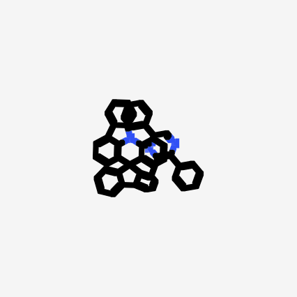 c1ccc(-c2cnc(-c3ccccc3)c(-c3cccc4c3C3(c5ccccc5-4)c4ccccc4-n4c5ccccc5c5cccc3c54)n2)cc1